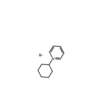 [Br-].c1cc[n+](C2CCCCC2)cc1